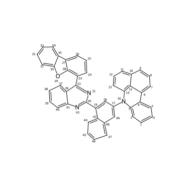 c1ccc2c(c1)-c1cccc3cccc(c13)N2c1cc(-c2nc(-c3cccc4c3oc3ccccc34)c3ccccc3n2)c2ccccc2c1